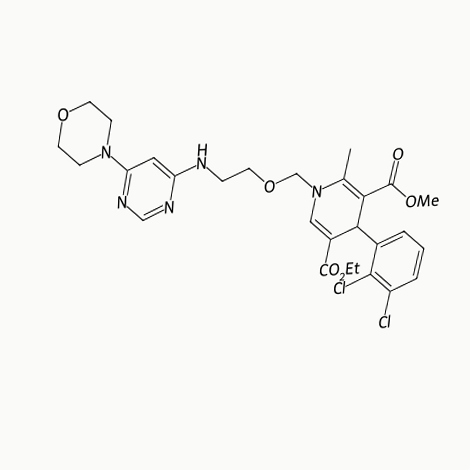 CCOC(=O)C1=CN(COCCNc2cc(N3CCOCC3)ncn2)C(C)=C(C(=O)OC)C1c1cccc(Cl)c1Cl